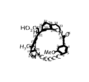 COc1cc2ccc1CCCCCn1nnc3c(C)c(cnc31)[C@H](CC(=O)O)c1ccc3c(c1)CN(CC3)C2=O